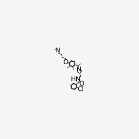 Cc1c(OCCCCN(C)C)ccc(C(C)N2CC(CNC(=O)c3ccccc3Cl)C2)c1C